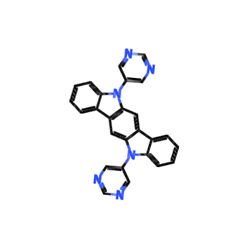 c1ccc2c(c1)c1cc3c(cc1n2-c1cncnc1)c1ccccc1n3-c1cncnc1